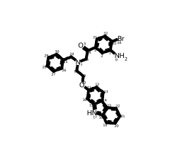 Nc1cc(C(=O)CN(CCOc2ccc3c(c2)[nH]c2ccccc23)Cc2ccccc2)ccc1Br